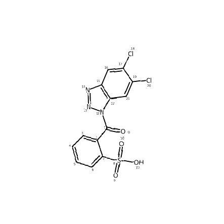 O=C(c1ccccc1S(=O)(=O)O)n1nnc2cc(Cl)c(Cl)cc21